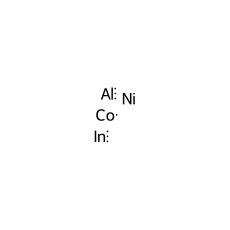 [Al].[Co].[In].[Ni]